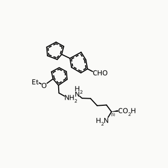 CCOc1ccccc1CN.NCCCC[C@H](N)C(=O)O.O=Cc1ccc(-c2ccccc2)cc1